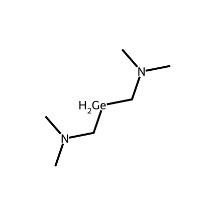 CN(C)[CH2][GeH2][CH2]N(C)C